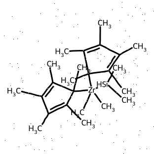 CC1=C(C)[C](C)([Zr]([CH3])([CH3])([SiH](C)C)[C]2(C)C(C)=C(C)C(C)=C2C)C(C)=C1C